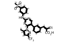 CCC(=Cc1cccc(-c2cnc(Nc3cccc(S(C)(=O)=O)c3)nc2-n2nc(C(F)(F)F)cc2C)c1)C(=O)O